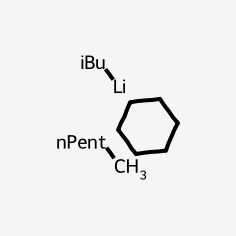 C1CCCCC1.CCCCCC.[Li][CH](C)CC